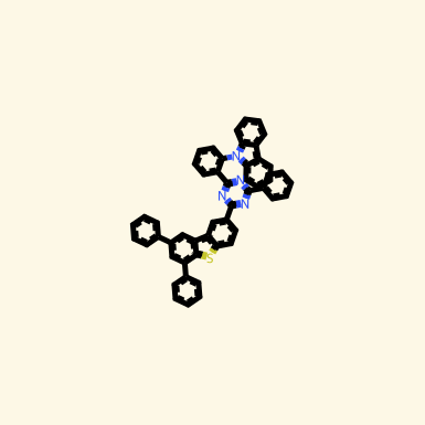 c1ccc(-c2cc(-c3ccccc3)c3sc4ccc(-c5nc(-c6ccccc6)nc(-c6ccccc6-n6c7ccccc7c7ccccc76)n5)cc4c3c2)cc1